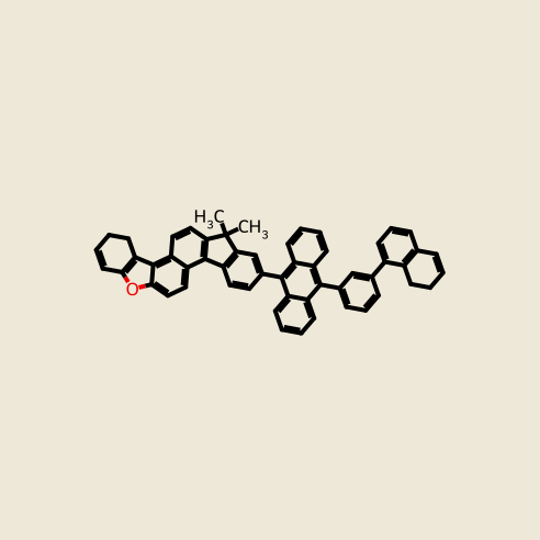 CC1(C)c2cc(-c3c4ccccc4c(-c4cccc(-c5cccc6c5CCC=C6)c4)c4ccccc34)ccc2-c2c1ccc1c2ccc2oc3c(c21)CCC=C3